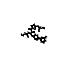 CCOC(=O)CC(Cc1ccc(-c2cccc(Cl)c2)cc1)NC(=O)c1ccc(CC(=O)O)o1